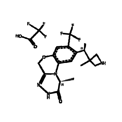 C[C@@H]1C(=O)NN=C2COc3cc(C(F)(F)F)c([C@@H](C)C4(C)CNC4)cc3N21.O=C(O)C(F)(F)F